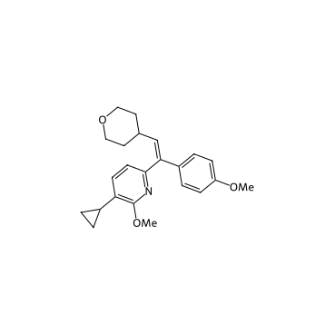 COc1ccc(C(=CC2CCOCC2)c2ccc(C3CC3)c(OC)n2)cc1